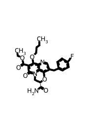 CCCCOc1c(C(=O)OCC)c(=O)n2c3c(c(Cc4ccc(F)cc4)cnc13)O[C@H](C(N)=O)C2